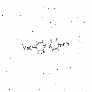 CCCc1[c]cc(-c2ccc(OC)cc2)cc1